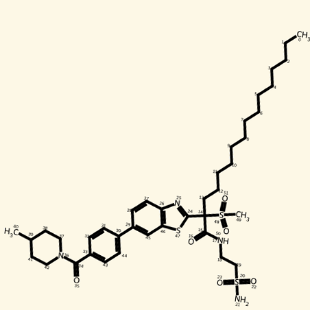 CCCCCCCCCCCCCCC(C(=O)NCCS(N)(=O)=O)(c1nc2ccc(-c3ccc(C(=O)N4CCC(C)CC4)cc3)cc2s1)S(C)(=O)=O